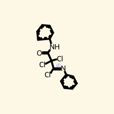 O=C(Nc1ccccc1)C(Cl)(Cl)/C(Cl)=N/c1ccccc1